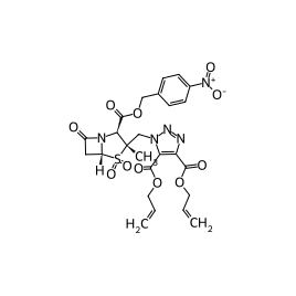 C=CCOC(=O)c1nnn(C[C@@]2(C)[C@H](C(=O)OCc3ccc([N+](=O)[O-])cc3)N3C(=O)C[C@H]3S2(=O)=O)c1C(=O)OCC=C